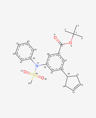 CC(C)(C)OC(=O)c1cc(C2CC=CC2)cc(N(c2ccccc2)S(C)(=O)=O)c1